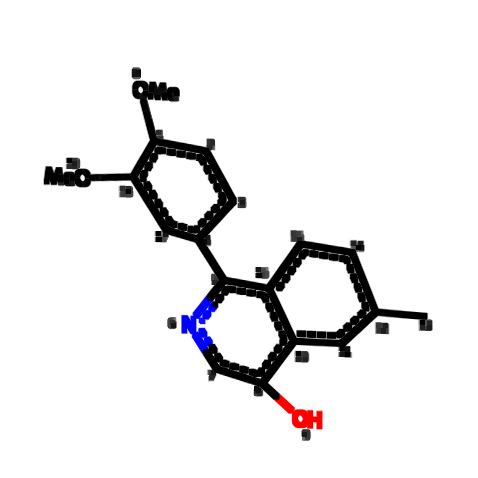 COc1ccc(-c2ncc(O)c3cc(C)ccc23)cc1OC